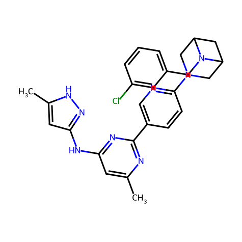 Cc1cc(Nc2cc(C)[nH]n2)nc(-c2ccc(N3CC4CC(C3)N4Cc3cccc(Cl)c3)nc2)n1